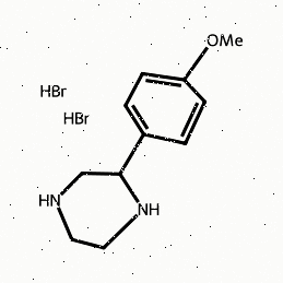 Br.Br.COc1ccc(C2CNCCN2)cc1